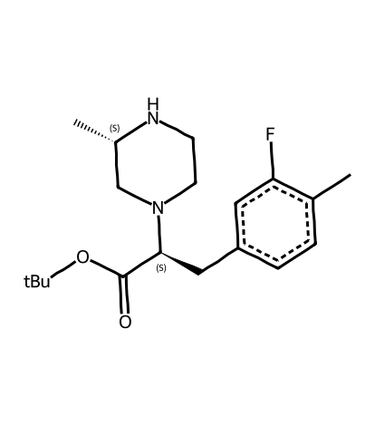 Cc1ccc(C[C@@H](C(=O)OC(C)(C)C)N2CCN[C@@H](C)C2)cc1F